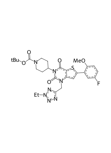 CCn1nnc(Cn2c(=O)n(C3CCN(C(=O)OC(C)(C)C)CC3)c(=O)c3sc(-c4cc(F)ccc4OC)cc32)n1